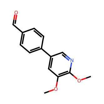 COc1cc(-c2ccc(C=O)cc2)cnc1OC